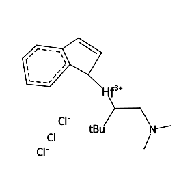 CN(C)C[CH]([Hf+3][CH]1C=Cc2ccccc21)C(C)(C)C.[Cl-].[Cl-].[Cl-]